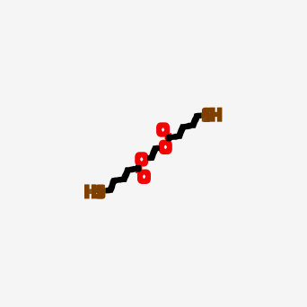 O=C(CCCCS)OCCOC(=O)CCCCS